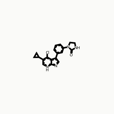 O=C1NCCN1c1cccc(-c2cnc3[nH]cc(C4CC4)c(Cl)c2-3)c1